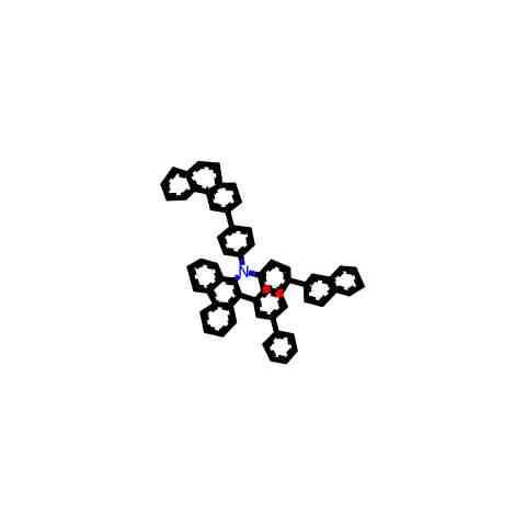 c1ccc(-c2cccc(-c3c(N(c4ccc(-c5ccc6ccccc6c5)cc4)c4ccc(-c5ccc6ccc7ccccc7c6c5)cc4)c4ccccc4c4ccccc34)c2)cc1